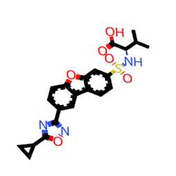 CC(C)[C@H](NS(=O)(=O)c1ccc2c(c1)oc1ccc(-c3noc(C4CC4)n3)cc12)C(=O)O